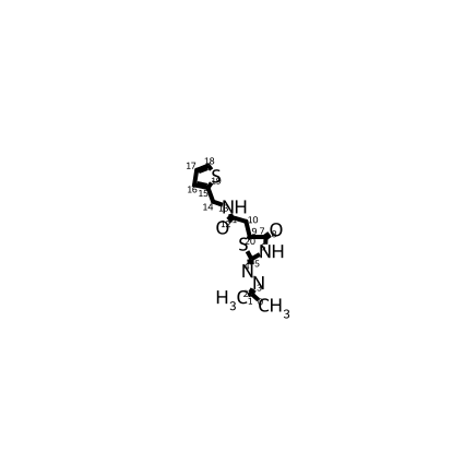 CC(C)=N/N=C1\NC(=O)C(CC(=O)NCc2cccs2)S1